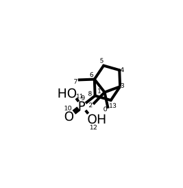 CC1(C)C2CCC1(C)C(P(=O)(O)O)C2